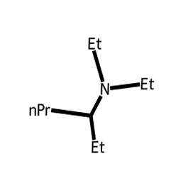 [CH2]CCC(CC)N(CC)CC